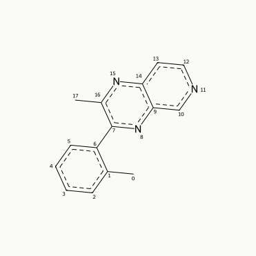 Cc1ccccc1-c1nc2cnccc2nc1C